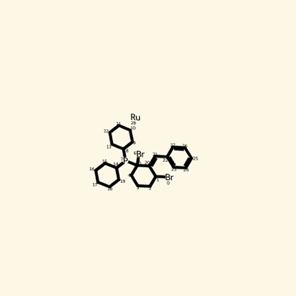 BrC1CCCC(Br)(P(C2CCCCC2)C2CCCCC2)C1=Cc1ccccc1.[Ru]